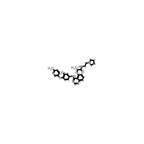 Cc1ccc(Oc2ccc(Nc3ncnc4cccc(O[C@H](C)C(=O)NCCN5CCCC5)c34)cc2C)cn1